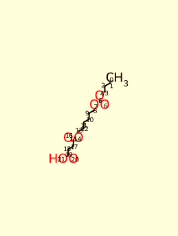 CCCCOC(=O)OCCCCCCOC(=O)CCC(=O)O